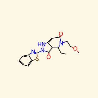 CCc1c2c(=O)n(-c3nc4ccccc4s3)[nH]c2cc(=O)n1CCOC